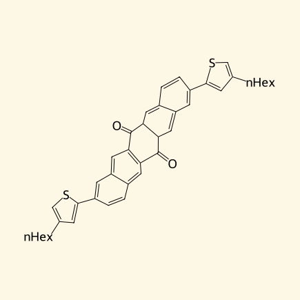 CCCCCCc1csc(-c2ccc3c(c2)=CC2C(=O)c4cc5ccc(-c6cc(CCCCCC)cs6)cc5cc4C(=O)C2C=3)c1